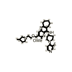 COc1nc2c(NC3CCN(c4ccncc4F)CC3)c3c(nc2cc1COCCN1CCC(C)C1)CCCCC3